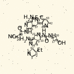 CCc1ccncc1-c1cc2cc(NC(=O)N[C@H]3C[C@@H](O)C3)ncc2c(N)n1.N#C[C@@H]1C[C@H]1C(=O)Nc1cc2cc(-c3cnccc3C(F)(F)F)nc(N)c2cn1